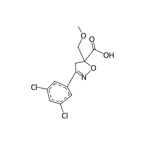 COCC1(C(=O)O)CC(c2cc(Cl)cc(Cl)c2)=NO1